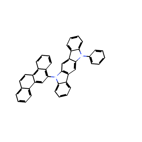 c1ccc(-n2c3ccccc3c3cc4c(cc32)c2ccccc2n4-c2cc3c4ccccc4ccc3c3ccccc23)cc1